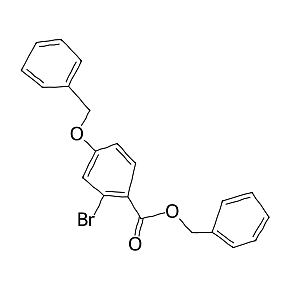 O=C(OCc1ccccc1)c1ccc(OCc2ccccc2)cc1Br